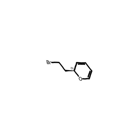 BrCC[C@H]1C=CC=CO1